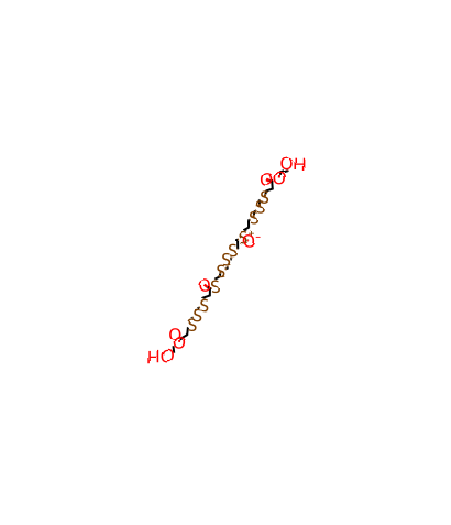 O=C(CCSCSCSCCC[S+]([O-])CCSCSCSCCSC(=O)CCSCSCSCCC(=O)OCCO)OCCO